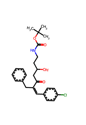 CC(C)(C)OC(=O)NCCC(O)CC(=O)C(=Cc1ccc(Cl)cc1)Cc1ccccc1